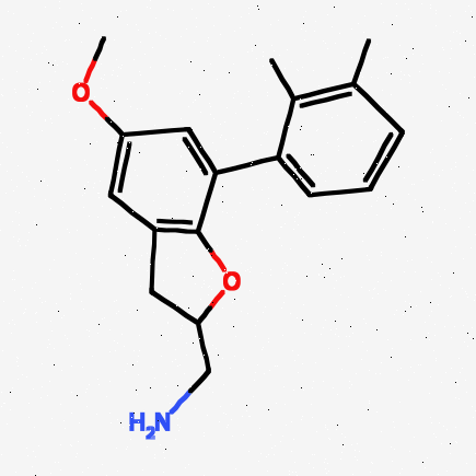 COc1cc2c(c(-c3cccc(C)c3C)c1)OC(CN)C2